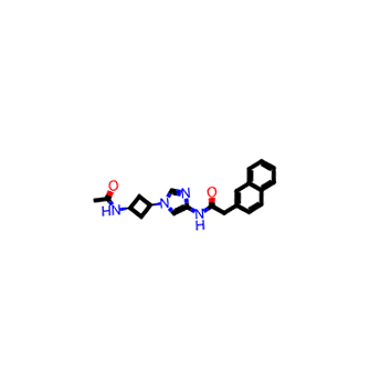 CC(=O)N[C@H]1C[C@@H](n2cnc(NC(=O)Cc3ccc4ccccc4c3)c2)C1